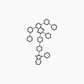 c1ccc(-c2cccc(-c3ccc(-c4cccc(-c5ccccc5)c4)c4nc(-c5ccc(-c6ccc(-c7nc8ccccc8n7-c7ccccc7)cc6)cc5)c(-c5ccccc5)nc34)c2)cc1